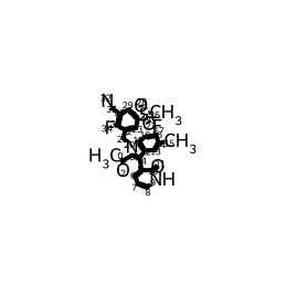 CC(=O)c1c(-c2ccc[nH]c2=O)c2cc(C)c(F)cc2n1Cc1cc(S(C)(=O)=O)cc(C#N)c1F